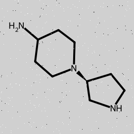 NC1CCN([C@H]2CCNC2)CC1